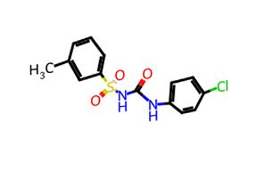 Cc1cccc(S(=O)(=O)NC(=O)Nc2ccc(Cl)cc2)c1